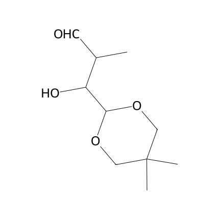 CC(C=O)C(O)C1OCC(C)(C)CO1